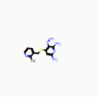 N#Cc1ncccc1CSc1cc(N)nc(N)c1N=N